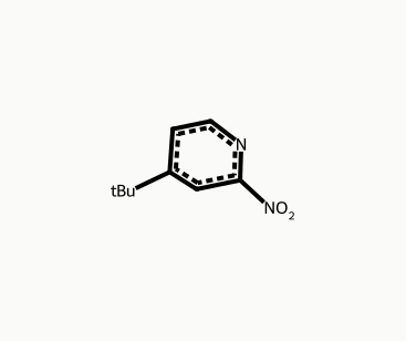 CC(C)(C)c1ccnc([N+](=O)[O-])c1